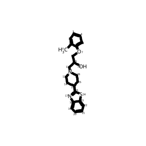 Cc1ccccc1OCC(O)CN1CCC(c2nc3ccccc3s2)CC1